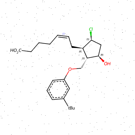 CC(C)(C)c1cccc(OC[C@@H]2[C@@H](C/C=C\CCCC(=O)O)[C@@H](Cl)C[C@H]2O)c1